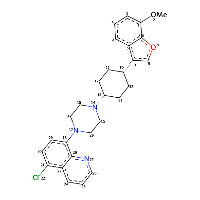 COc1cccc2c1occ2[C@H]1CC[C@@H](N2CCN(c3ccc(Cl)c4cccnc34)CC2)CC1